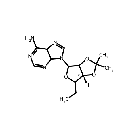 CCC1OC(N2C=NC3C(N)=NC=NC32)C2OC(C)(C)O[C@H]12